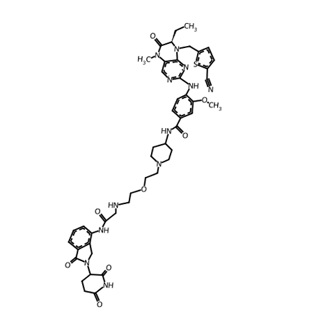 CC[C@@H]1C(=O)N(C)c2cnc(Nc3ccc(C(=O)NC4CCN(CCOCCNCC(=O)Nc5cccc6c5CN(C5CCC(=O)NC5=O)C6=O)CC4)cc3OC)nc2N1Cc1ccc(C#N)s1